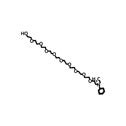 CCN(CCOCCOCCOCCOCCOCCOCCOCCOCCOCCO)c1ccccc1